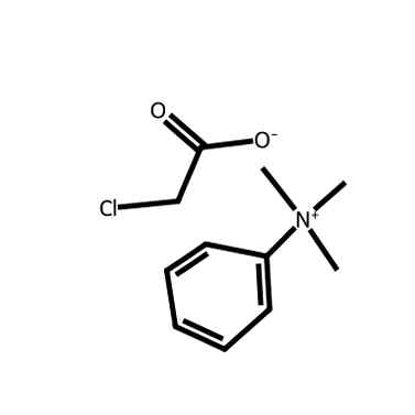 C[N+](C)(C)c1ccccc1.O=C([O-])CCl